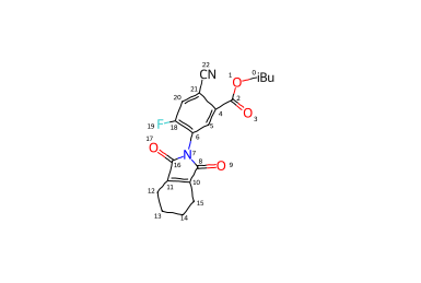 CCC(C)OC(=O)c1cc(N2C(=O)C3=C(CCCC3)C2=O)c(F)cc1C#N